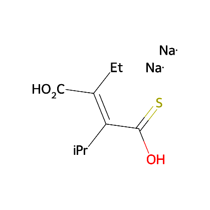 CCC(C(=O)O)=C(C(O)=S)C(C)C.[Na].[Na]